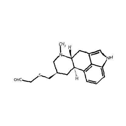 CN1C[C@H](CSCC=O)C[C@@H]2c3cccc4[nH]cc(c34)C[C@H]21